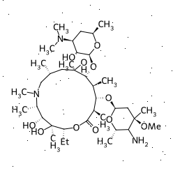 CC[C@H]1OC(=O)[C@H](C)[C@@H](O[C@H]2C[C@@](C)(OC)C(N)[C@H](C)O2)[C@H](C)[C@@H](O[C@@H]2O[C@H](C)C[C@H](N(C)C)[C@H]2O)[C@](C)(O)C[C@@H](C)CN(C)[C@@H](C)[C@@H](O)[C@]1(C)O